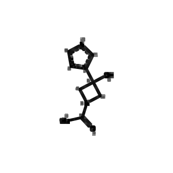 CC(C)(C)C(=O)N1CC(O)(c2ccsc2)C1